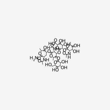 CC(=O)NC1CC(O[C@@H]2OC(C)[C@@H](O[C@@H]3OC(CO)[C@@H](O)C(O)C3O)C(O[C@@H]3OC(C(=O)O)[C@@H](O)C(O)C3O[C@@H]3OC(C)[C@@H](O)C(O)C3NC(C)=O)C2NC(C)=O)[C@H](O)C(C)O[C@H]1ON